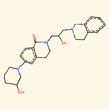 O=C1c2ccc(N3CCCC(O)C3)cc2CCN1CC(O)CN1CCc2ccccc2C1